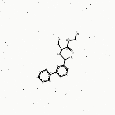 CC(C)C[C@H](NC(c1cccc(-c2ccccc2)c1)C(F)(F)F)C(=O)NCC#N